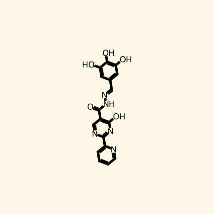 O=C(NN=Cc1cc(O)c(O)c(O)c1)c1cnc(-c2ccccn2)nc1O